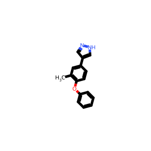 Cc1cc(-c2cn[nH]c2)ccc1Oc1ccccc1